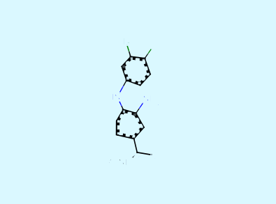 CC(=O)N[C@H](C)c1ccc(Nc2ccc(F)c(Br)c2)c(N)c1